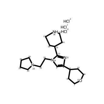 Cl.Cl.Cl.c1c(C2CCOCC2)nc(C2CCNCC2)n1CCN1CCCC1